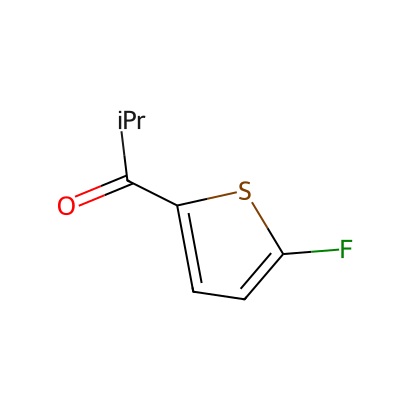 CC(C)C(=O)c1ccc(F)s1